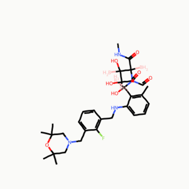 BC(O)(c1c(C)cccc1NCc1cccc(CN2CC(C)(C)OC(C)(C)C2)c1F)N(C=O)C(B)(C(=O)NC)C(B)(O)C(B)(O)C=O